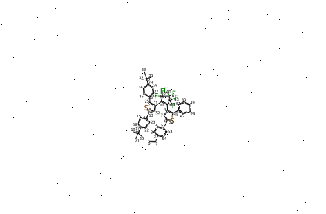 C=Cc1ccc(-c2cc(C3=C(c4cc(-c5ccc(C(C)(C)C)cc5)sc4-c4ccc(C(C)(C)C)cc4)C(F)(F)C(F)(F)C3(F)F)c(-c3ccccc3)s2)cc1